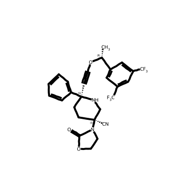 C[C@@H](OC#C[C@@]1(c2ccccc2)CC[C@](C#N)(N2CCOC2=O)CN1)c1cc(C(F)(F)F)cc(C(F)(F)F)c1